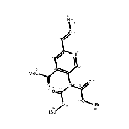 COC(=O)c1cc(/C=N/N)ncc1N(C(=O)OC(C)(C)C)C(=O)OC(C)(C)C